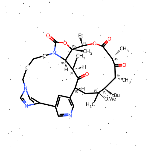 CC[C@H]1OC(=O)[C@H](C)C(=O)[C@H](C)[C@@H](C(C)(C)C)[C@](C)(OC)C[C@@H]2C(=O)[C@H](C)[C@H]3N(CCCCn4cnc(c4)-c4cncc2c4)C(=O)O[C@]13C